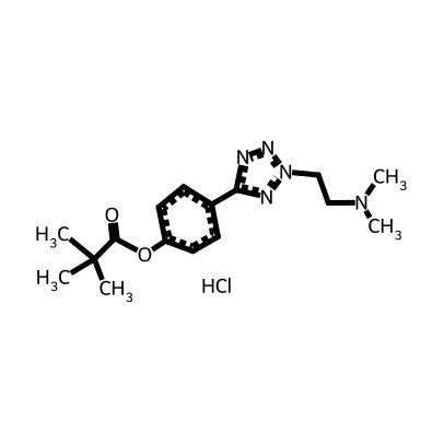 CN(C)CCn1nnc(-c2ccc(OC(=O)C(C)(C)C)cc2)n1.Cl